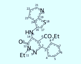 CCOC(=O)c1c(-c2ccccc2)nn(CC)c(=O)c1Nc1csc2ncccc12